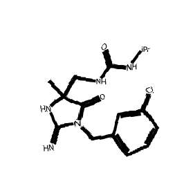 CC(C)NC(=O)NCC1(C)NC(=N)N(Cc2cccc(Cl)c2)C1=O